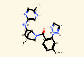 COc1ccc(C(=O)N2C[C@H]3CC(Nc4cnc(C(F)(F)F)cn4)C2C3)c(-n2nccn2)c1